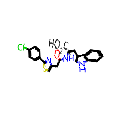 O=C(Cc1csc(-c2ccc(Cl)cc2)n1)N[C@@H](Cc1c[nH]c2ccccc12)C(=O)O